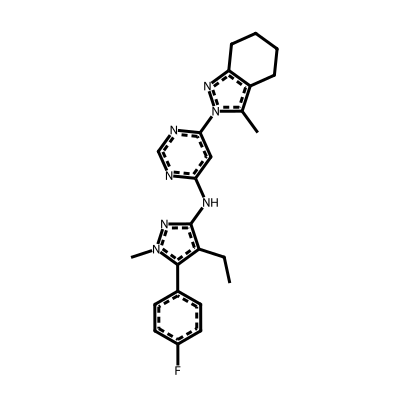 CCc1c(Nc2cc(-n3nc4c(c3C)CCCC4)ncn2)nn(C)c1-c1ccc(F)cc1